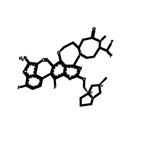 C[C@H]1CN2CCC[C@@]2(COc2nc3c4c(c(Cl)c(-c5ccc(F)c6sc(N)c(C#N)c56)c(F)c4n2)OCCC2CC(=O)N(C)C(C(F)F)CCN32)C1